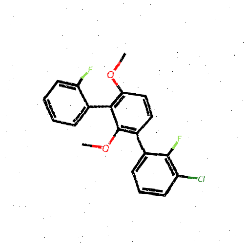 COc1ccc(-c2cccc(Cl)c2F)c(OC)c1-c1ccccc1F